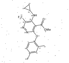 COC(=O)c1c(Oc2ccc(F)cc2C)nnc(C(F)(F)F)c1NC1CC1